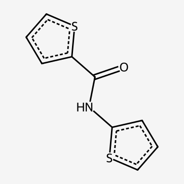 O=C(Nc1cccs1)c1cccs1